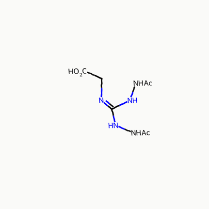 CC(=O)NNC(=NCC(=O)O)NNC(C)=O